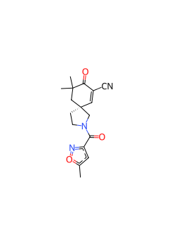 Cc1cc(C(=O)N2CC[C@]3(C=C(C#N)C(=O)C(C)(C)C3)C2)no1